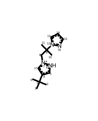 CC(C)(C)c1c[nH][n+](CC(C)(C)n2cccn2)c1